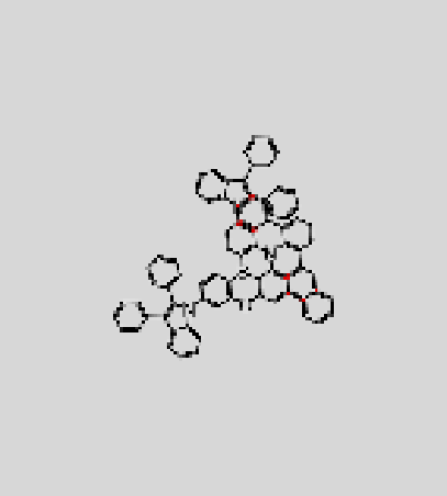 c1ccc(-c2cc3c4c(c2)N(c2c(-c5ccccc5)cccc2-c2ccccc2)c2cc(-n5c(-c6ccccc6)c(-c6ccccc6)c6ccccc65)ccc2B4c2ccc(-n4c(-c5ccccc5)c(-c5ccccc5)c5ccccc54)cc2O3)cc1